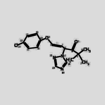 CC(C)(C)C(=O)C(/C=C/Oc1ccc(Cl)cc1)n1cncn1